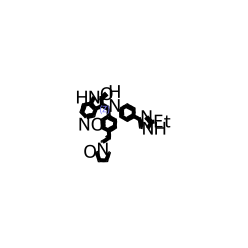 CCc1nc(-c2ccc(N/C(=C3\C(=O)Nc4ccc([N+](=O)[O-])cc43)c3ccc(CCN4CCCC4=O)cc3)cc2)c[nH]1